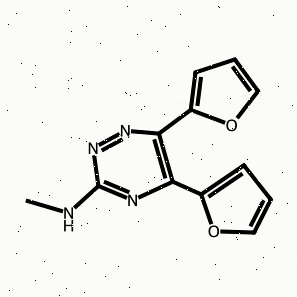 CNc1nnc(-c2ccco2)c(-c2ccco2)n1